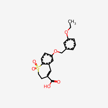 CCOc1cccc(COc2ccc3c(c2)C=C(C(=O)O)CCS3(=O)=O)c1